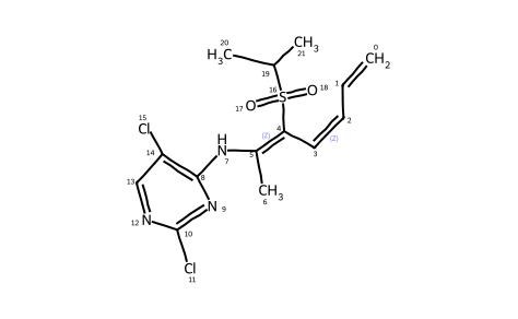 C=C/C=C\C(=C(/C)Nc1nc(Cl)ncc1Cl)S(=O)(=O)C(C)C